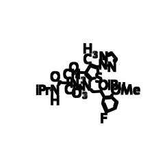 COc1ccc(F)cc1C(Cn1c(=O)n(C(C)(C)C(=O)NC(C)C)c(=O)c2c(C)c(-n3nccn3)sc21)OCC(C)C